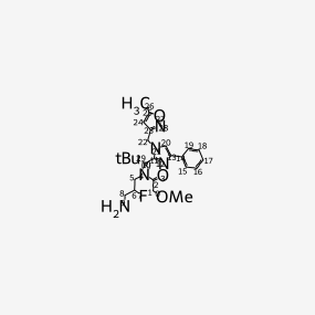 COCC(=O)N(CC(F)CN)[C@@H](c1nc(-c2ccccc2)cn1Cc1cc(C)on1)C(C)(C)C